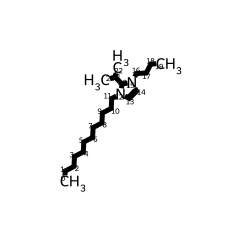 CCCCCCCCCCCCN1C=CN(CCCC)C1C(C)C